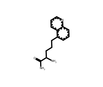 NC(=O)C(N)CCCc1cccc2ncccc12